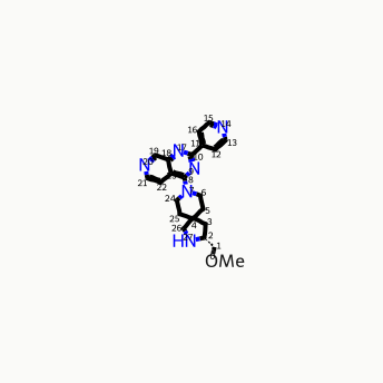 COC[C@H]1CC2(CCN(c3nc(-c4ccncc4)nc4cnccc34)CC2)CN1